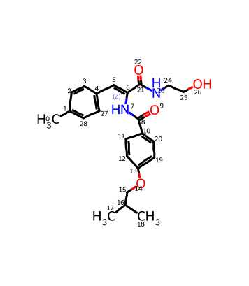 Cc1ccc(/C=C(\NC(=O)c2ccc(OCC(C)C)cc2)C(=O)NCCO)cc1